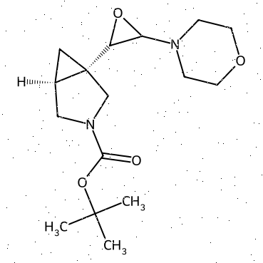 CC(C)(C)OC(=O)N1C[C@H]2C[C@@]2(C2OC2N2CCOCC2)C1